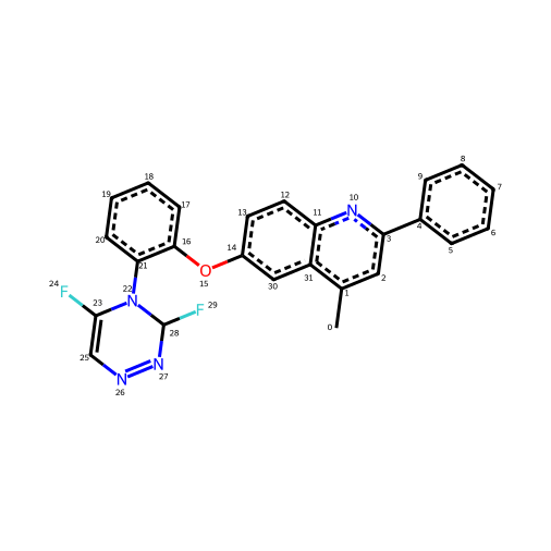 Cc1cc(-c2ccccc2)nc2ccc(Oc3ccccc3N3C(F)=CN=NC3F)cc12